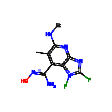 CCNc1nc2nc(F)n(F)c2c(/C(N)=N/O)c1C